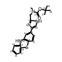 CN(Cc1nc(-c2ccc3c(c2)Nc2ccccc2S3)c[nH]1)C(=O)OC(C)(C)C